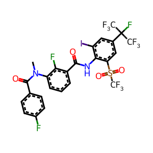 CN(C(=O)c1ccc(F)cc1)c1cccc(C(=O)Nc2c(I)cc(C(F)(C(F)(F)F)C(F)(F)F)cc2S(=O)(=O)C(F)(F)F)c1F